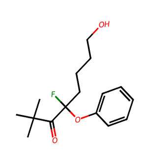 CC(C)(C)C(=O)C(F)(CCCCO)Oc1ccccc1